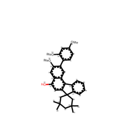 COc1ccc(-c2cc3c4c(cc(O)c3cc2OC)C2(CC(C)(C)CC(C)(C)C2)c2ccccc2-4)c(OC)c1